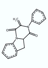 C=C1C(=O)N2c3ccccc3CC2C(=O)N1c1ccccc1